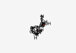 Cc1ncsc1-c1ccc(CNC(=O)[C@@H]2C[C@@H](O)CN2C(=O)[C@@H](NC(=O)CCNCCOCCn2cc(CNC(=O)c3ccc(Nc4ncc5c(n4)-c4ccc(Cl)cc4C(c4c(F)cccc4F)=NC5)cc3)nn2)C(C)(C)C)cc1